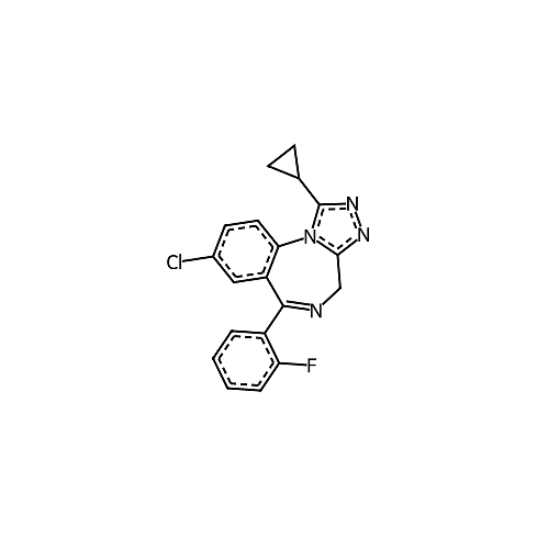 Fc1ccccc1C1=NCc2nnc(C3CC3)n2-c2ccc(Cl)cc21